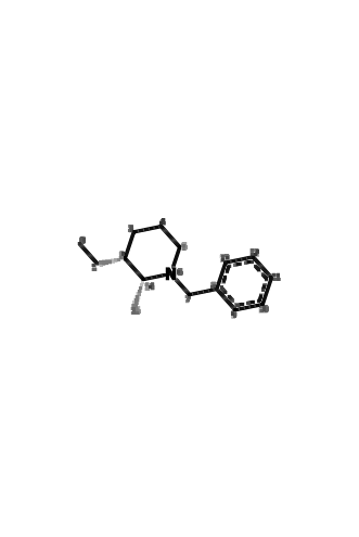 CC[C@@H]1CCCN(Cc2ccccc2)[C@@H]1C